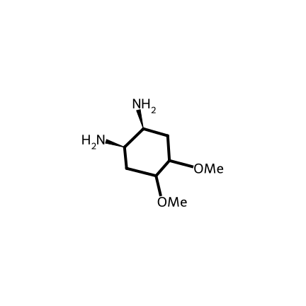 COC1C[C@@H](N)[C@@H](N)CC1OC